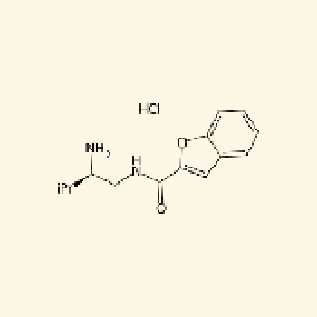 CC(C)[C@@H](N)CNC(=O)c1cc2ccccc2o1.Cl